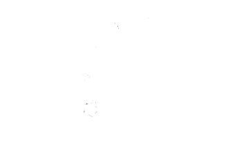 CCC1C2C3CC[C@@H]4C(CC[C@@]5(C)C4CC[C@@H]5C(C)(O)Cn4cc(C)cn4)[C@@]3(C)CC[C@H]12